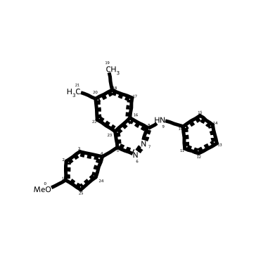 COc1ccc(-c2nnc(Nc3ccccc3)c3cc(C)c(C)cc23)cc1